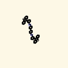 C(=C\c1cccc(N2c3ccccc3Sc3ccccc32)c1)/c1ccc(-c2ccc(/C=C/c3cccc(N4c5ccccc5Sc5ccccc54)c3)cc2)cc1